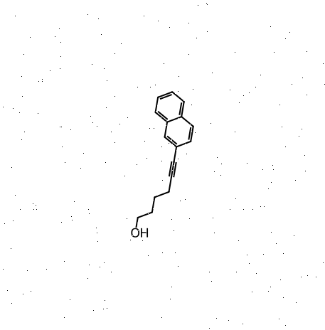 OCCCCC#Cc1ccc2ccccc2c1